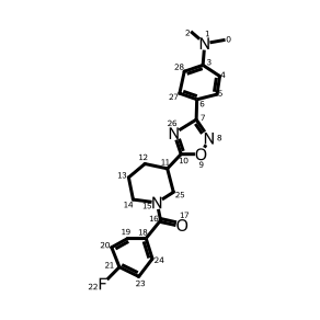 CN(C)c1ccc(-c2noc(C3CCCN(C(=O)c4ccc(F)cc4)C3)n2)cc1